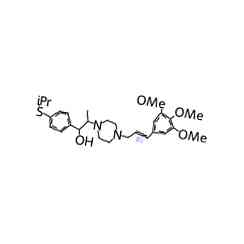 COc1cc(/C=C/CN2CCN(C(C)C(O)c3ccc(SC(C)C)cc3)CC2)cc(OC)c1OC